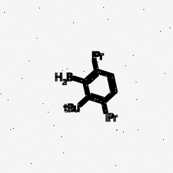 Bc1c(C(C)C)ccc(C(C)C)c1C(C)(C)C